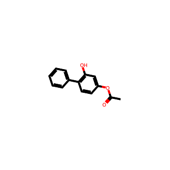 CC(=O)Oc1ccc(-c2ccccc2)c(O)c1